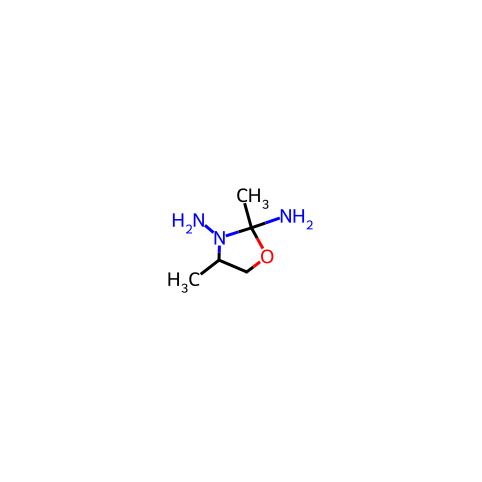 CC1COC(C)(N)N1N